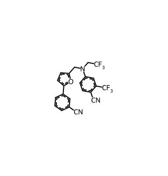 N#Cc1cccc(-c2ccc(CN(CC(F)(F)F)c3ccc(C#N)c(C(F)(F)F)c3)o2)c1